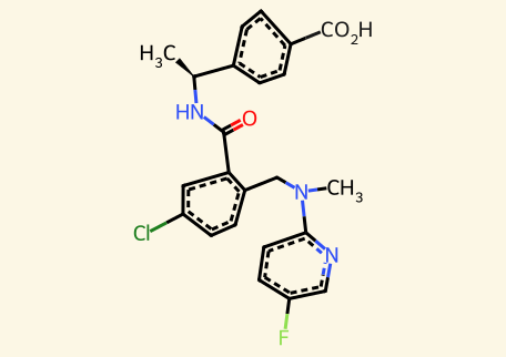 C[C@H](NC(=O)c1cc(Cl)ccc1CN(C)c1ccc(F)cn1)c1ccc(C(=O)O)cc1